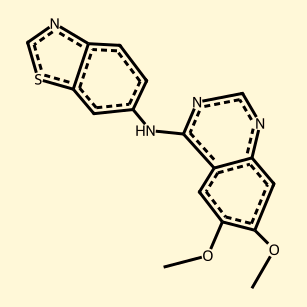 COc1cc2ncnc(Nc3ccc4ncsc4c3)c2cc1OC